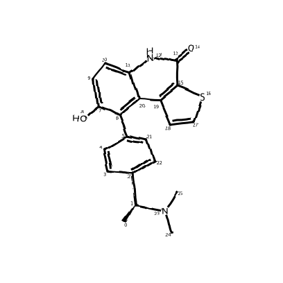 C[C@@H](c1ccc(-c2c(O)ccc3[nH]c(=O)c4sccc4c23)cc1)N(C)C